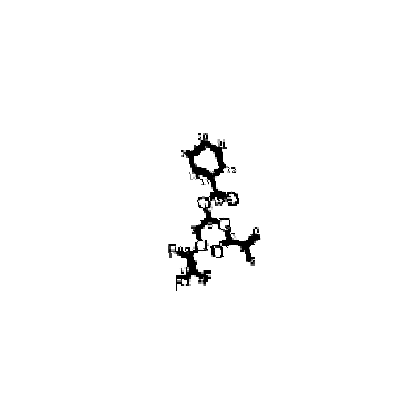 C=C(C)C(=O)OC(COC(F)=C(F)F)OC(=O)c1ccccc1